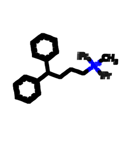 CC(C)[N+](C)(CCCC(c1ccccc1)c1ccccc1)C(C)C